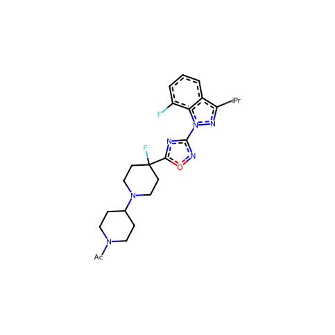 CC(=O)N1CCC(N2CCC(F)(c3nc(-n4nc(C(C)C)c5cccc(F)c54)no3)CC2)CC1